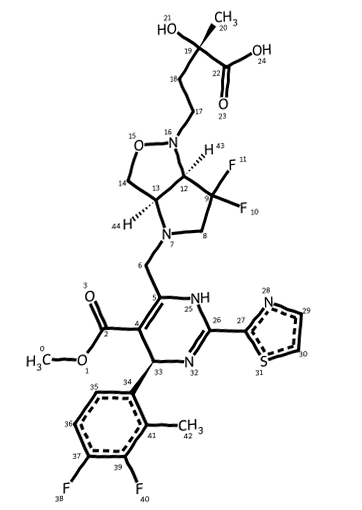 COC(=O)C1=C(CN2CC(F)(F)[C@H]3[C@@H]2CON3CC[C@](C)(O)C(=O)O)NC(c2nccs2)=N[C@H]1c1ccc(F)c(F)c1C